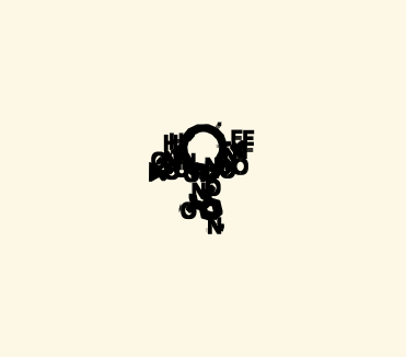 COc1cnc(O[C@@H]2C[C@H]3C(=O)N[C@]4(C(=O)NS(=O)(=O)C5(C)CC5)C[C@H]4C=CCC[C@H](C)C[C@@H](C)[C@H](N(C(=O)O)C(C)(C)C(F)(F)F)C(=O)N3C2)c2ccc(N(C)C)cc12